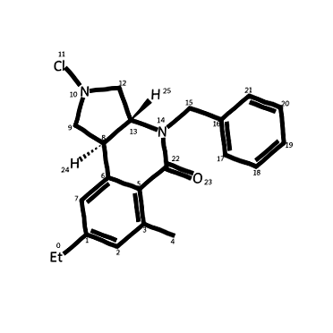 CCc1cc(C)c2c(c1)[C@H]1CN(Cl)C[C@@H]1N(Cc1ccccc1)C2=O